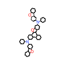 C1=C2c3ccccc3OC2CC=C1N(c1ccccc1)c1ccc2c(c1)oc1c3ccc(N(c4ccccc4)c4ccc5oc6ccccc6c5c4)cc3c3ccccc3c21